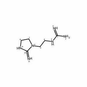 N=C(N)NCCN1CCNC1=N